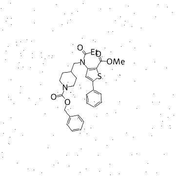 CCC(=O)N(CC1CCN(C(=O)OCc2ccccc2)CC1)c1cc(-c2ccccc2)sc1C(=O)OC